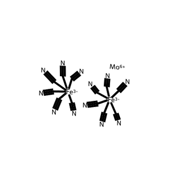 N#[C][Fe-3]([C]#N)([C]#N)([C]#N)([C]#N)[C]#N.N#[C][Fe-3]([C]#N)([C]#N)([C]#N)([C]#N)[C]#N.[Mo+6]